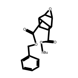 CCCCOC(=O)C1C2CCC(C3OC23)C1C(=O)OCc1ccccc1